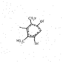 Cc1c(C(=O)O)c(S)cc(S)c1C(=O)O